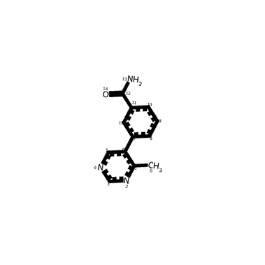 Cc1ncncc1-c1cccc(C(N)=O)c1